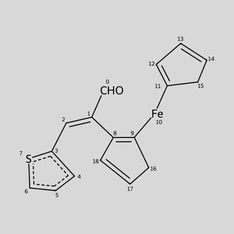 O=CC(=Cc1cccs1)C1=[C]([Fe][C]2=CC=CC2)CC=C1